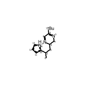 CC(CC1CN=C(C(C)(C)C)C=N1)c1ccc[nH]1